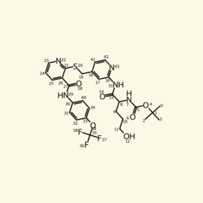 CC(C)(C)OC(=O)NC(CCCO)C(=O)Nc1cc(CSc2ncccc2C(=O)Nc2ccc(OC(F)(F)F)cc2)ccn1